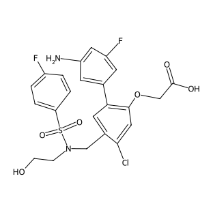 Nc1cc(F)cc(-c2cc(CN(CCO)S(=O)(=O)c3ccc(F)cc3)c(Cl)cc2OCC(=O)O)c1